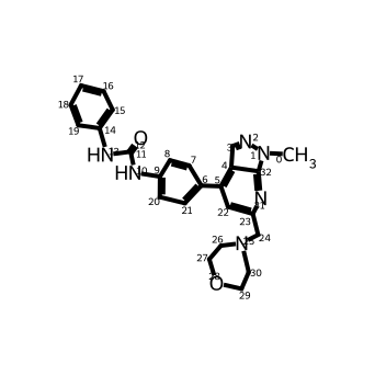 Cn1ncc2c(-c3ccc(NC(=O)Nc4ccccc4)cc3)cc(CN3CCOCC3)nc21